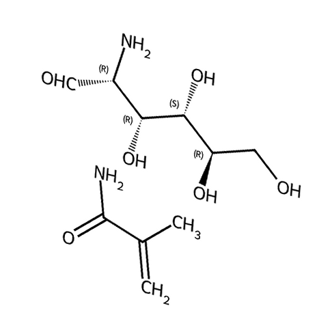 C=C(C)C(N)=O.N[C@@H](C=O)[C@@H](O)[C@H](O)[C@H](O)CO